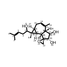 CC(C)=CCC(O)[C@@]1(C)[C@@H]2[C@@H]3[C@H](C(C)=CC[C@@H]21)[C@@H](O)[C@H](O)[C@@]31CO1